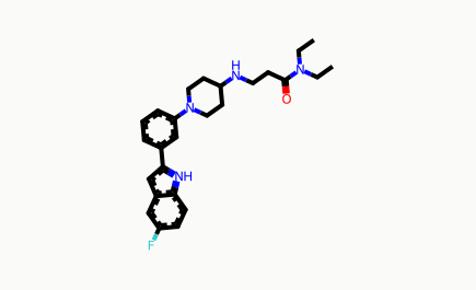 CCN(CC)C(=O)CCNC1CCN(c2cccc(-c3cc4cc(F)ccc4[nH]3)c2)CC1